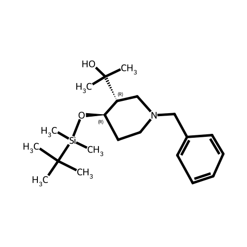 CC(C)(O)[C@@H]1CN(Cc2ccccc2)CC[C@H]1O[Si](C)(C)C(C)(C)C